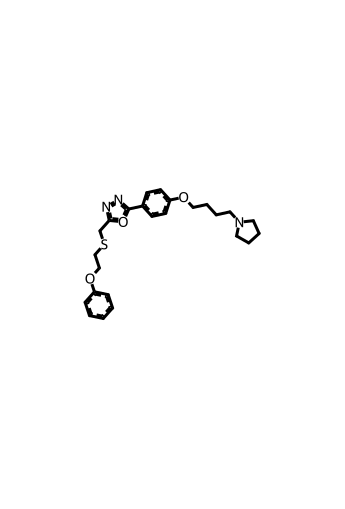 c1ccc(OCCSCc2nnc(-c3ccc(OCCCCN4CCCC4)cc3)o2)cc1